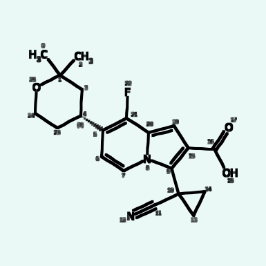 CC1(C)C[C@H](c2ccn3c(C4(C#N)CC4)c(C(=O)O)cc3c2F)CCO1